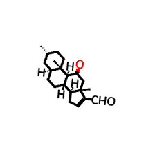 C[C@@H]1CC[C@@]2(C)[C@@H](CC[C@@H]3[C@@H]2C(=O)C[C@]2(C)C(C=O)=CC[C@@H]32)C1